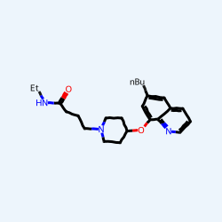 CCCCc1cc(OC2CCN(CCCC(=O)NCC)CC2)c2ncccc2c1